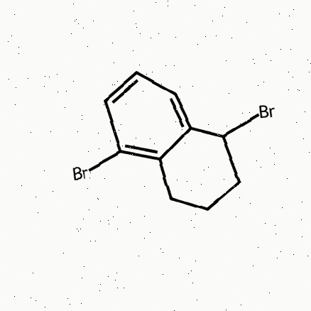 Brc1cccc2c1CCCC2Br